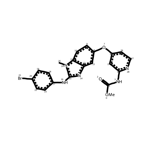 COC(=O)Nc1cc(Oc2ccc3c(c2)nc(Nc2ccc(Br)cc2)n3C)ccn1